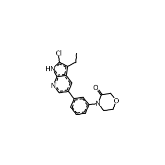 CCc1c(Cl)[nH]c2ncc(-c3cccc(N4CCOCC4=O)c3)cc12